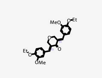 CCOc1ccc(/C=C2\COC/C(=C\c3ccc(OCC)c(OC)c3)C2=O)cc1OC